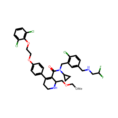 COCOCC1NCCC(c2ccc(OCCOc3c(Cl)cccc3Cl)cc2)=C1C(=O)N(Cc1cc(CNCC(F)F)ccc1Cl)C1CC1